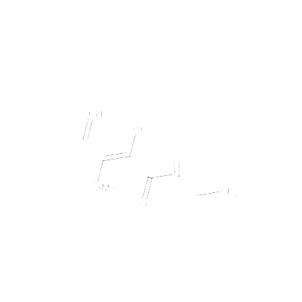 C=C/C(OC)=C(\CC)C(=O)NCC(F)(F)F